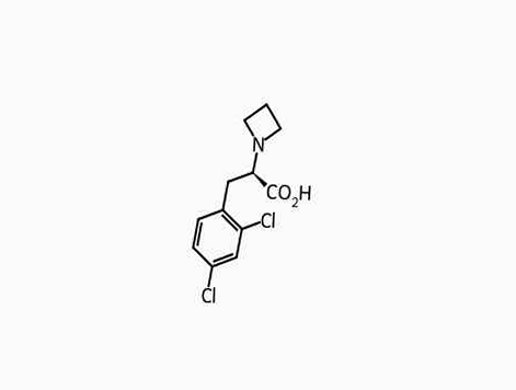 O=C(O)[C@@H](Cc1ccc(Cl)cc1Cl)N1CCC1